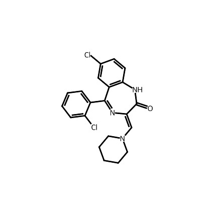 O=C1Nc2ccc(Cl)cc2C(c2ccccc2Cl)=NC1=CN1CCCCC1